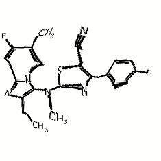 CCc1nc2cc(F)c(C)cn2c1N(C)c1nc(-c2ccc(F)cc2)c(C#N)s1